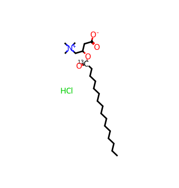 CCCCCCCCCCCCCCC[13C](=O)OC(CC(=O)[O-])C[N+](C)(C)C.Cl